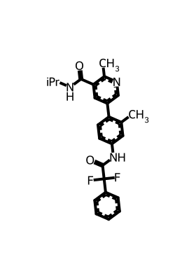 Cc1cc(NC(=O)C(F)(F)c2ccccc2)ccc1-c1cnc(C)c(C(=O)NC(C)C)c1